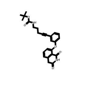 CC(C)(C)OC(=O)NCCCC#Cc1cccc(Oc2cccc3c2C(=O)NC(=O)C3)c1